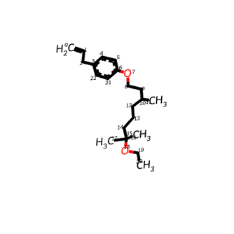 C=CCc1ccc(OCCC(C)CCCC(C)(C)OCC)cc1